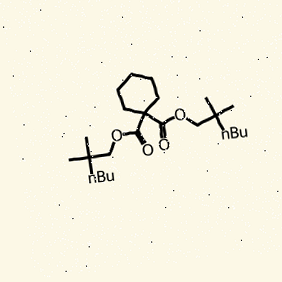 CCCCC(C)(C)COC(=O)C1(C(=O)OCC(C)(C)CCCC)CCCCC1